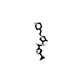 CC1CN(CCC2CCNCC2)CC1NC(=O)c1cc(C2CC2)on1